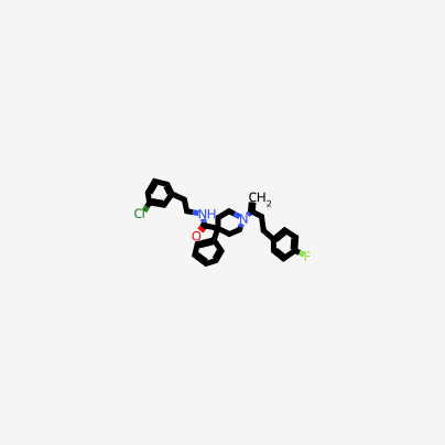 C=C(CCc1ccc(F)cc1)N1CCC(C(=O)NCCc2cccc(Cl)c2)(c2ccccc2)CC1